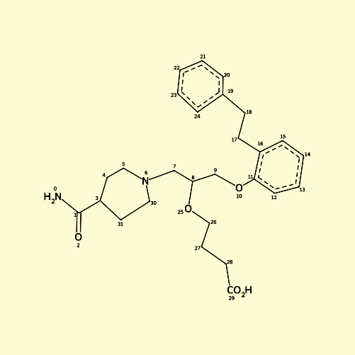 NC(=O)C1CCN(CC(COc2ccccc2CCc2ccccc2)OCCCC(=O)O)CC1